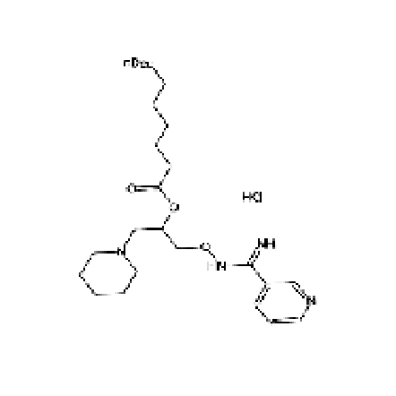 CCCCCCCCCCCCCCCC(=O)OC(CONC(=N)c1cccnc1)CN1CCCCC1.Cl